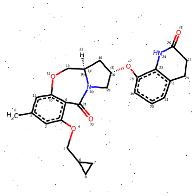 Cc1cc(OCC2CC2)c2c(c1)OC[C@H]1C[C@H](Oc3cccc4c3NC(=O)CC4)CN1C2=O